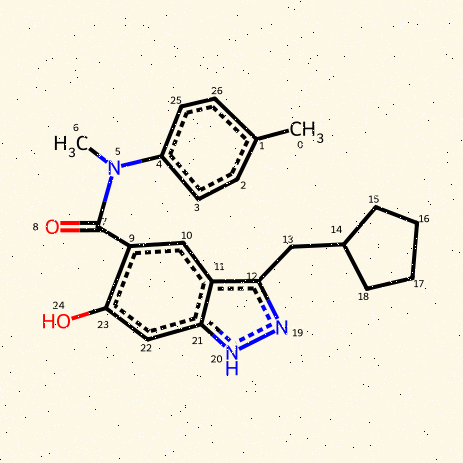 Cc1ccc(N(C)C(=O)c2cc3c(CC4CCCC4)n[nH]c3cc2O)cc1